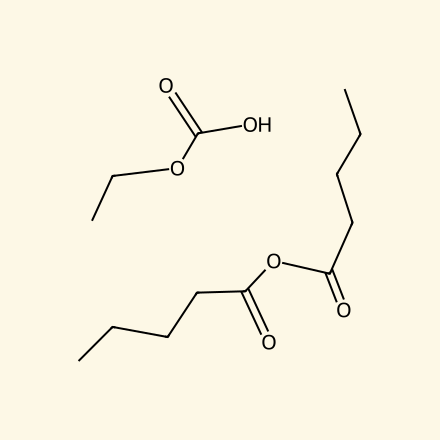 CCCCC(=O)OC(=O)CCCC.CCOC(=O)O